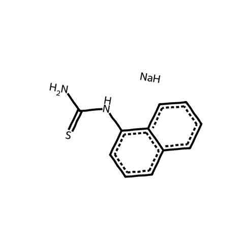 NC(=S)Nc1cccc2ccccc12.[NaH]